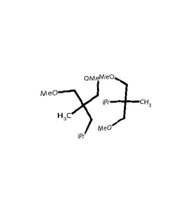 COCC(C)(COC)C(C)C.COCC(C)(COC)CC(C)C